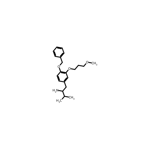 COCCCOc1cc(CC(N)C(C)C)ccc1OCc1ccccc1